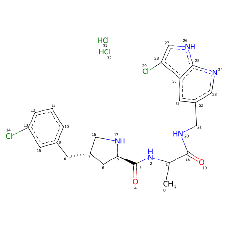 CC(NC(=O)[C@H]1C[C@H](Cc2cccc(Cl)c2)CN1)C(=O)NCc1cnc2[nH]cc(Cl)c2c1.Cl.Cl